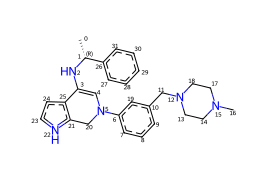 C[C@@H](NC1=CN(c2cccc(CN3CCN(C)CC3)c2)Cc2[nH]ccc21)c1ccccc1